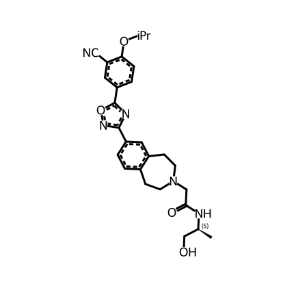 CC(C)Oc1ccc(-c2nc(-c3ccc4c(c3)CCN(CC(=O)N[C@@H](C)CO)CC4)no2)cc1C#N